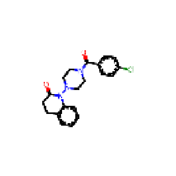 O=C(c1ccc(Cl)cc1)N1CCN(N2C(=O)CCc3ccccc32)CC1